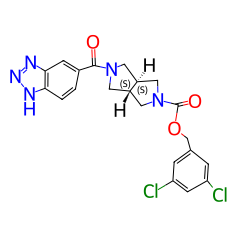 O=C(OCc1cc(Cl)cc(Cl)c1)N1C[C@@H]2CN(C(=O)c3ccc4[nH]nnc4c3)C[C@H]2C1